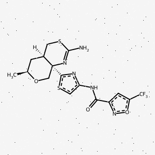 C[C@H]1C[C@H]2CSC(N)=N[C@@]2(c2nc(NC(=O)c3cc(C(F)(F)F)on3)cs2)CO1